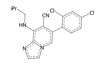 CC(C)CNc1c(C#N)c(-c2ccc(Cl)cc2Cl)cn2ccnc12